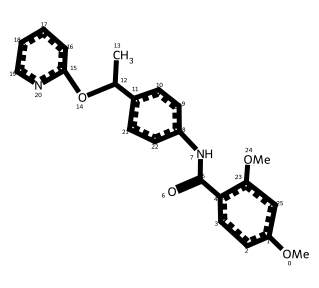 COc1ccc(C(=O)Nc2ccc(C(C)Oc3ccccn3)cc2)c(OC)c1